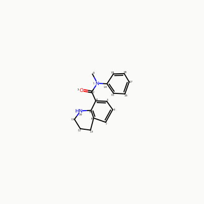 CN(C(=O)c1cccc2c1NCCC2)c1ccccc1